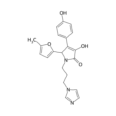 Cc1ccc(C2C(c3ccc(O)cc3)=C(O)C(=O)N2CCCn2ccnc2)o1